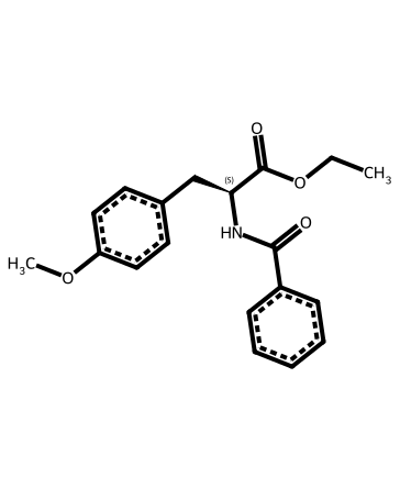 CCOC(=O)[C@H](Cc1ccc(OC)cc1)NC(=O)c1ccccc1